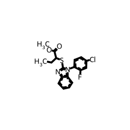 CCC(Sc1nc2ccccc2n1-c1ccc(Cl)cc1F)C(=O)OC